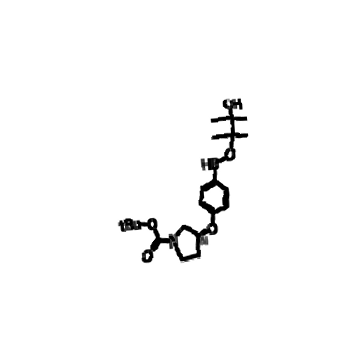 CC(C)(C)OC(=O)N1CC[C@H](Oc2ccc(BOC(C)(C)C(C)(C)O)cc2)C1